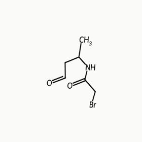 CC(CC=O)NC(=O)CBr